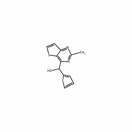 Cc1nc(C(O)c2cccs2)c2sccc2n1